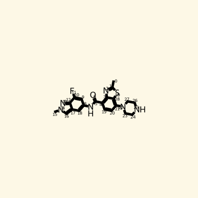 Cc1nc2c(C(=O)Nc3cc(F)c4nn(C)cc4c3)ccc(N3CCNCC3)c2s1